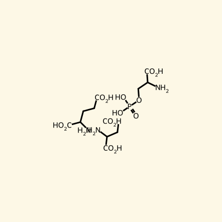 NC(CC(=O)O)C(=O)O.NC(CCC(=O)O)C(=O)O.NC(COP(=O)(O)O)C(=O)O